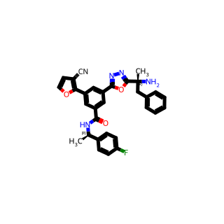 C[C@@H](NC(=O)c1cc(-c2nnc([C@](C)(N)Cc3ccccc3)o2)cc(-c2occc2C#N)c1)c1ccc(F)cc1